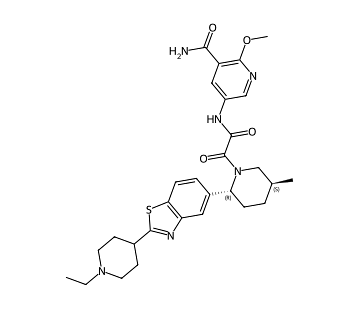 CCN1CCC(c2nc3cc([C@H]4CC[C@H](C)CN4C(=O)C(=O)Nc4cnc(OC)c(C(N)=O)c4)ccc3s2)CC1